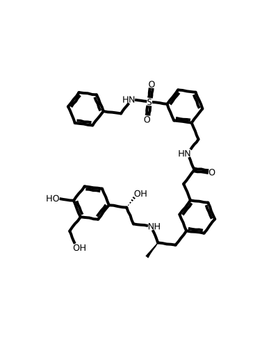 C[C@H](Cc1cccc(CC(=O)NCc2cccc(S(=O)(=O)NCc3ccccc3)c2)c1)NC[C@@H](O)c1ccc(O)c(CO)c1